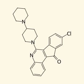 O=C1c2cc(Cl)ccc2-c2c(N3CCC(N4CCCCC4)CC3)nc3ccccc3c21